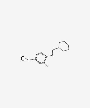 Cc1cc(CCl)ccc1CCC1CCCCC1